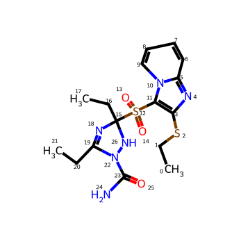 CCSc1nc2ccccn2c1S(=O)(=O)C1(CC)N=C(CC)N(C(N)=O)N1